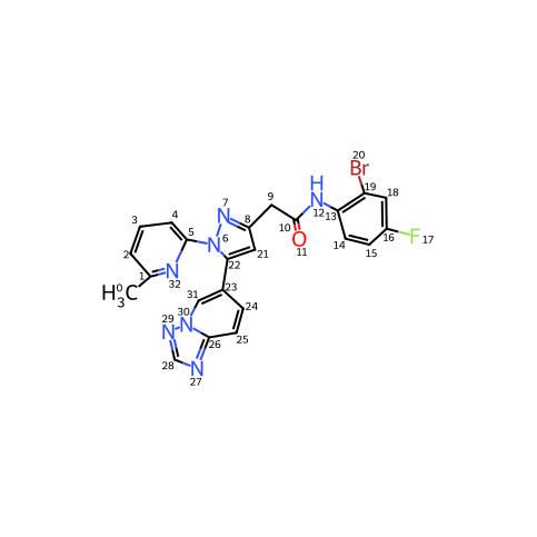 Cc1cccc(-n2nc(CC(=O)Nc3ccc(F)cc3Br)cc2-c2ccc3ncnn3c2)n1